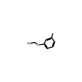 Cc1cccc(OCS)c1